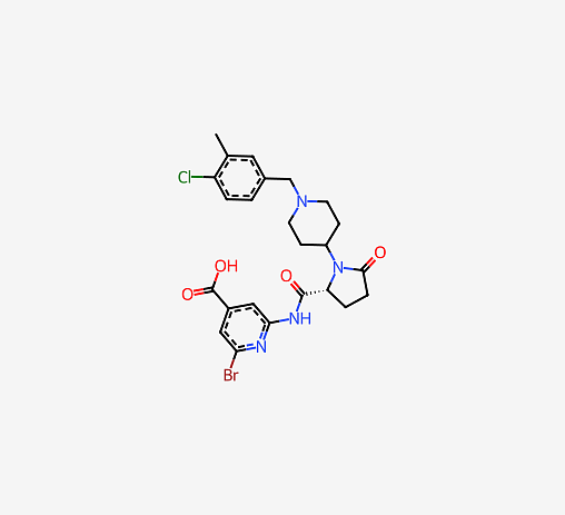 Cc1cc(CN2CCC(N3C(=O)CC[C@@H]3C(=O)Nc3cc(C(=O)O)cc(Br)n3)CC2)ccc1Cl